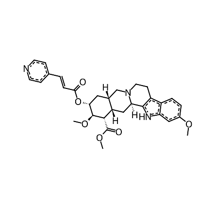 COC(=O)[C@H]1[C@H]2C[C@@H]3c4[nH]c5cc(OC)ccc5c4CCN3C[C@H]2C[C@@H](OC(=O)/C=C/c2ccncc2)[C@@H]1OC